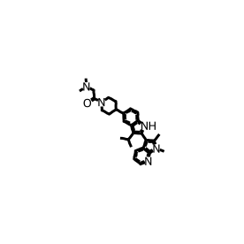 Cc1c(-c2[nH]c3ccc(C4CCN(C(=O)CN(C)C)CC4)cc3c2C(C)C)c2cccnc2n1C